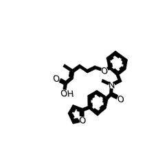 CC(=CC(=O)O)CCCOc1ccccc1CN(C)C(=O)c1ccc(-c2ccco2)cc1